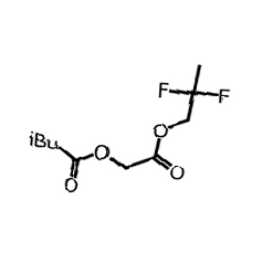 CCC(C)C(=O)OCC(=O)OCC(C)(F)F